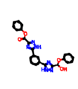 O=C(Oc1ccccc1)c1n[nH]c(-c2cccc(-c3nc(C(O)Oc4ccccc4)n[nH]3)c2)n1